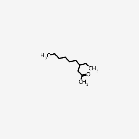 CCCCCCC(CC)CC(C)=O